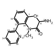 CN1C(=O)C(N)Oc2cccc(-c3ccccn3)c21